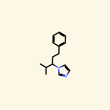 CC(C)C(CCc1ccccc1)n1ccnc1